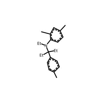 CCN(c1ccc(C)cc1C)C(CC)(CC)c1ccc(C)cc1